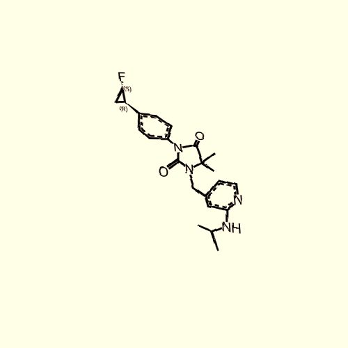 CC(C)Nc1cc(CN2C(=O)N(c3ccc([C@H]4C[C@@H]4F)cc3)C(=O)C2(C)C)ccn1